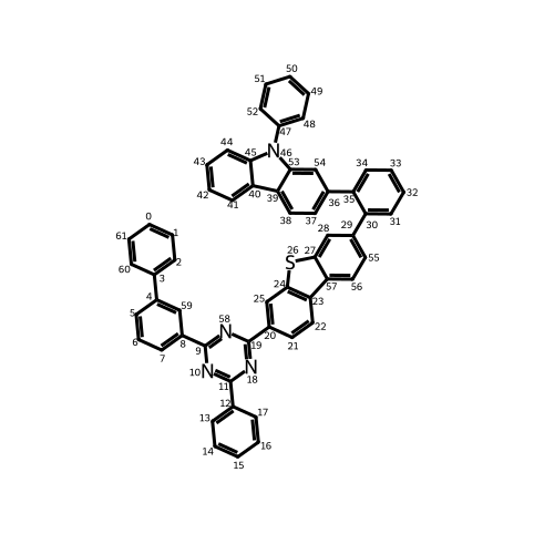 c1ccc(-c2cccc(-c3nc(-c4ccccc4)nc(-c4ccc5c(c4)sc4cc(-c6ccccc6-c6ccc7c8ccccc8n(-c8ccccc8)c7c6)ccc45)n3)c2)cc1